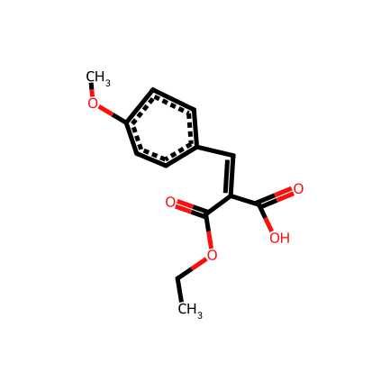 CCOC(=O)C(=Cc1ccc(OC)cc1)C(=O)O